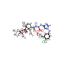 COC(=O)[C@H](Cc1cn(Cc2ccc(Cl)c(Cl)c2)cn1)NC(=O)C1CCC(C)(C(=O)OC(C)(C)C)C1(C)C